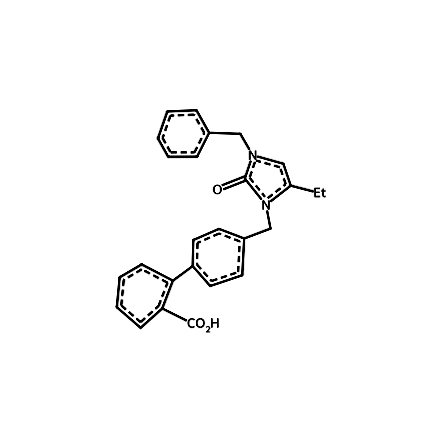 CCc1cn(Cc2ccccc2)c(=O)n1Cc1ccc(-c2ccccc2C(=O)O)cc1